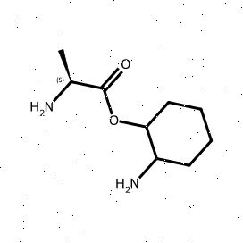 C[C@H](N)C(=O)OC1CCCCC1N